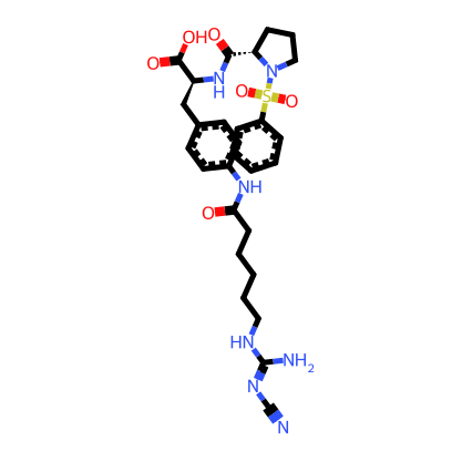 N#C/N=C(\N)NCCCCCC(=O)Nc1ccc(C[C@H](NC(=O)[C@@H]2CCCN2S(=O)(=O)c2ccccc2)C(=O)O)cc1